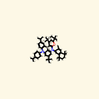 Cc1cc2c(cc1N1C3=C(B4c5cc(C(C)C)ccc5N(c5ccc(C(C)C)cc5)c5cc(C(C)(C)C)cc1c54)C1CC(O3)C(C)(C)CCC1(C)C)C(C)(C)CCC2(C)C